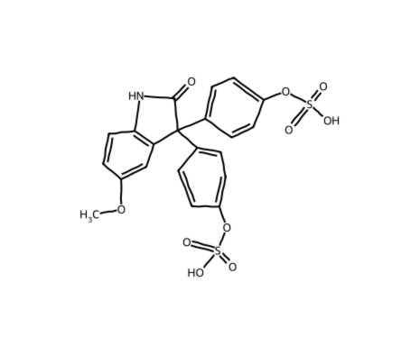 COc1ccc2c(c1)C(c1ccc(OS(=O)(=O)O)cc1)(c1ccc(OS(=O)(=O)O)cc1)C(=O)N2